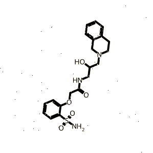 NS(=O)(=O)c1ccccc1OCC(=O)NCC(O)CN1CCc2ccccc2C1